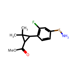 COC(=O)C1C(c2ccc(SN)cc2F)C1(C)C